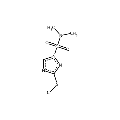 CN(C)S(=O)(=O)n1cnc(SCl)n1